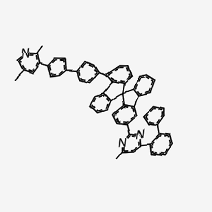 Cc1cnc(C)c(-c2ccc(-c3ccc(-c4cccc5c4-c4ccccc4C54c5ccccc5-c5cc(-c6nc(C)cc(-c7ccccc7-c7ccccc7)n6)ccc54)cc3)cc2)c1